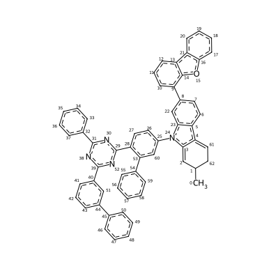 CC1C=c2c(c3ccc(-c4cccc5c4oc4ccccc45)cc3n2-c2ccc(-c3nc(-c4ccccc4)nc(-c4cccc(-c5ccccc5)c4)n3)c(-c3ccccc3)c2)=CC1